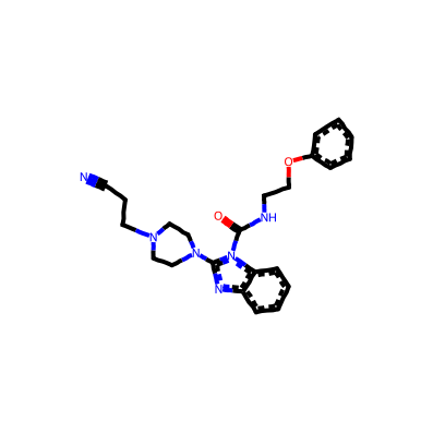 N#CCCN1CCN(c2nc3ccccc3n2C(=O)NCCOc2ccccc2)CC1